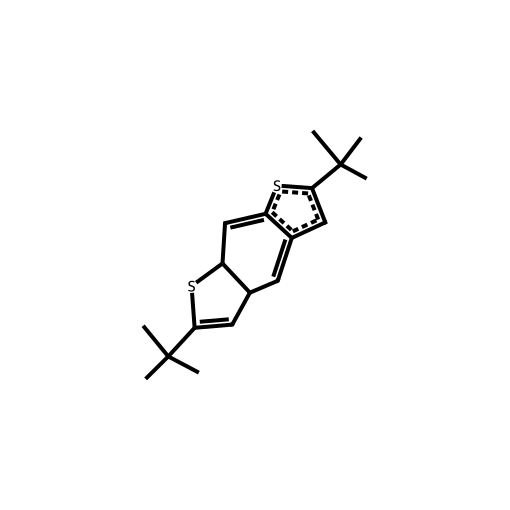 CC(C)(C)C1=CC2C=c3cc(C(C)(C)C)sc3=CC2S1